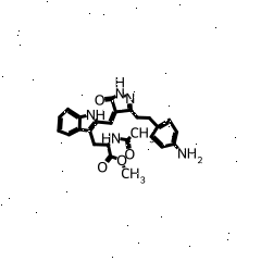 COC(=O)C(Cc1c(C=C2C(=O)NN=C2CCc2ccc(N)cc2)[nH]c2ccccc12)NC(C)=O